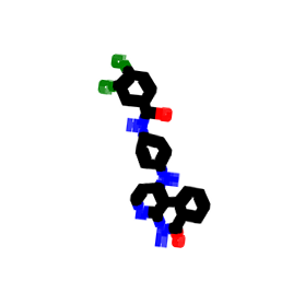 O=C(Nc1ccc(Nc2ccnc3[nH]c(=O)c4ccccc4c23)cc1)c1ccc(Cl)c(Cl)c1